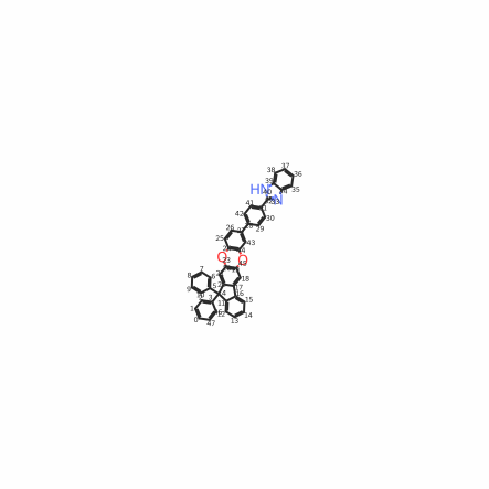 c1ccc(C2(c3ccccc3)c3ccccc3-c3cc4c(cc32)Oc2ccc(-c3ccc(-c5nc6ccccc6[nH]5)cc3)cc2O4)cc1